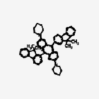 CC1(C)c2ccccc2-c2ccc(-c3c4cc(N5CCCCC5)ccc4c(-c4cccc5c4C(C)(C)c4ccccc4-5)c4cc(N5CCCCC5)ccc34)cc21